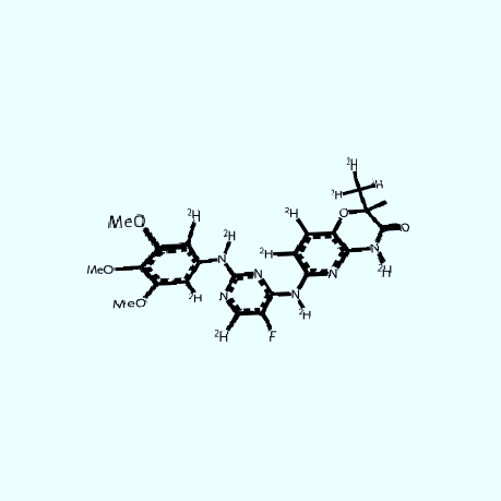 [2H]c1nc(N([2H])c2c([2H])c(OC)c(OC)c(OC)c2[2H])nc(N([2H])c2nc3c(c([2H])c2[2H])OC(C)(C([2H])([2H])[2H])C(=O)N3[2H])c1F